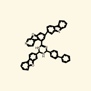 c1ccc(-c2ccc(C3N=C(c4cc(-c5ccc6c(c5)sc5ccccc56)cc5oc6cnccc6c45)NC(c4ccc5c(c4)oc4ccccc45)N3)cc2)cc1